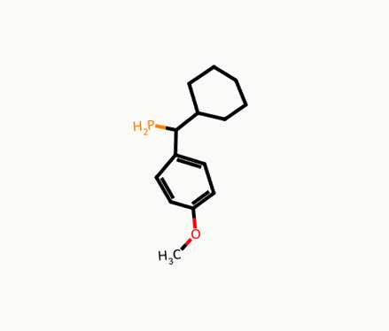 COc1ccc(C(P)C2CCCCC2)cc1